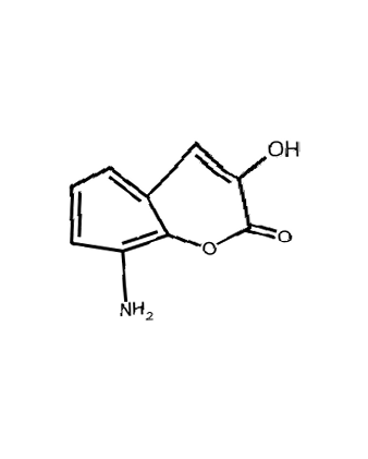 Nc1cccc2cc(O)c(=O)oc12